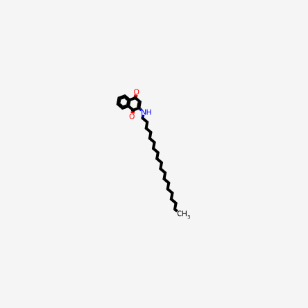 CCCCCCCCCCCCCCCCCCCCNC1=CC(=O)c2ccccc2C1=O